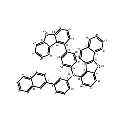 c1cc(-c2ccc3ccccc3c2)cc(N(c2ccc(-c3cccc4oc5ccccc5c34)cc2)c2cccc3oc4c5ccccc5ccc4c23)c1